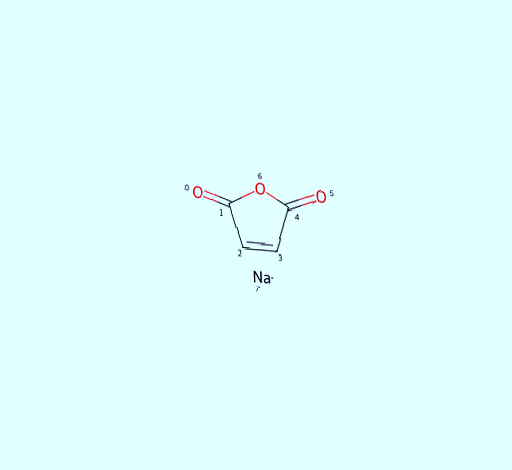 O=C1C=CC(=O)O1.[Na]